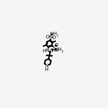 Cc1cc(S(N)(=O)=O)c(C)c(S(N)(=O)=O)c1NCC(C)(C)C1CCNCC1.Cl